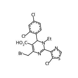 CCN1C(c2ncsc2Cl)=NC(CBr)=C(C(=O)O)C1c1ccc(Cl)cc1Cl